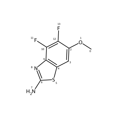 COc1cc2sc(N)nc2c(F)c1F